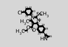 CCOC(=O)C1=C(C)N(c2cccc(Cl)c2)C(SC)=NC1c1ccc([C@H]2CN2)cc1